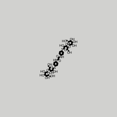 O=C(Nc1ccc(S[C@@H]2O[C@H](CO)[C@@H](O[C@@H]3O[C@H](CO)[C@@H](O)[C@H](O)[C@H]3O)[C@H](O)[C@H]2O)cc1)C(=O)Nc1ccc(S[C@@H]2O[C@H](CO)[C@@H](O[C@@H]3O[C@H](CO)[C@@H](O)[C@H](O)[C@H]3O)[C@H](O)[C@H]2O)cc1